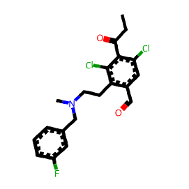 CCC(=O)c1c(Cl)cc(C=O)c(CCN(C)Cc2cccc(F)c2)c1Cl